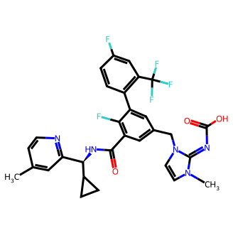 Cc1ccnc([C@@H](NC(=O)c2cc(Cn3ccn(C)/c3=N/C(=O)O)cc(-c3ccc(F)cc3C(F)(F)F)c2F)C2CC2)c1